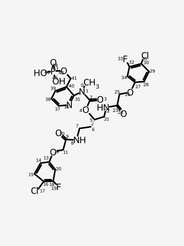 CN(C(=O)O[C@@H](CCNC(=O)COc1ccc(Cl)c(F)c1)CNC(=O)COc1ccc(Cl)c(F)c1)c1ncccc1COP(=O)(O)O